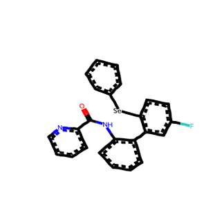 O=C(Nc1ccccc1-c1cc(F)ccc1[Se]c1ccccc1)c1ccccn1